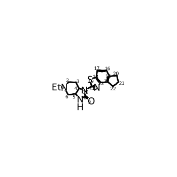 CCN1CCC2C(C1)NC(=O)N2c1nc2c3c(ccc2s1)CCC3